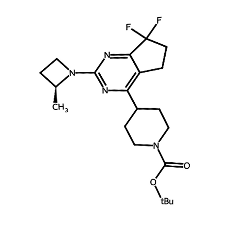 C[C@H]1CCN1c1nc(C2CCN(C(=O)OC(C)(C)C)CC2)c2c(n1)C(F)(F)CC2